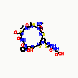 CNC(=O)C[C@@H]1NC(=O)c2csc(n2)-c2ccc(-c3nc(NC(=O)NCCC(=O)O)cs3)nc2-c2csc(n2)-c2csc(n2)[C@H]([C@@H](O)c2ccccc2)NC(=O)CNC(=O)c2nc(sc2COC)[C@H](C(C)C)NC(=O)c2nc1sc2C